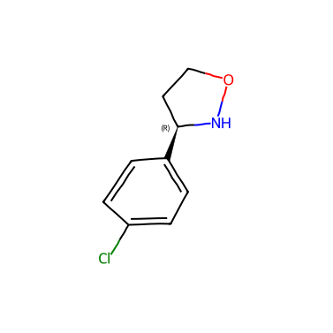 Clc1ccc([C@H]2CCON2)cc1